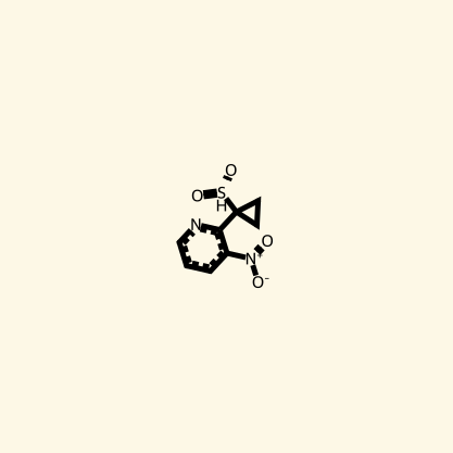 O=[N+]([O-])c1cccnc1C1([SH](=O)=O)CC1